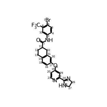 O=C(Nc1ccc(Br)c(C(F)(F)F)c1)C1CCc2ccc(Oc3ccnc(C4=NCCN4)c3)cc2C1